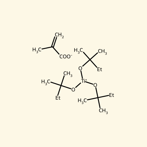 C=C(C)C(=O)[O-].CCC(C)(C)[O][Ti+]([O]C(C)(C)CC)[O]C(C)(C)CC